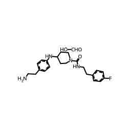 NCCc1ccc(NC2CCN(C(=O)NCCc3ccc(F)cc3)CC2)cc1.O=CO